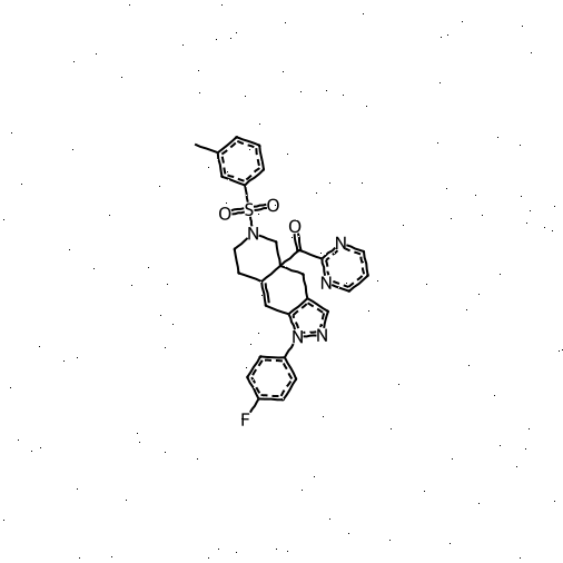 Cc1cccc(S(=O)(=O)N2CCC3=Cc4c(cnn4-c4ccc(F)cc4)CC3(C(=O)c3ncccn3)C2)c1